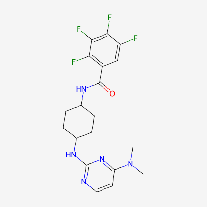 CN(C)c1ccnc(NC2CCC(NC(=O)c3cc(F)c(F)c(F)c3F)CC2)n1